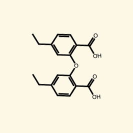 CCc1ccc(C(=O)O)c(Oc2cc(CC)ccc2C(=O)O)c1